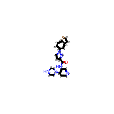 O=C(Nc1cnccc1N1CCNCC1)c1ccn(-c2ccc3sccc3c2)n1